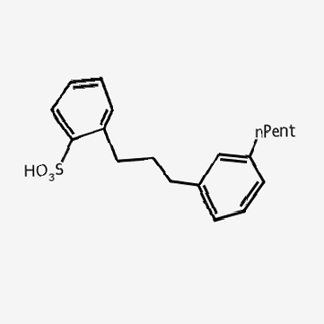 CCCCCc1cccc(CCCc2ccccc2S(=O)(=O)O)c1